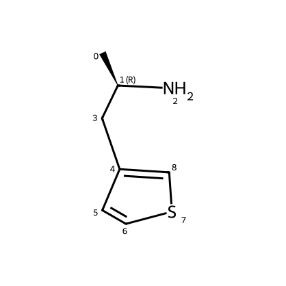 C[C@@H](N)Cc1ccsc1